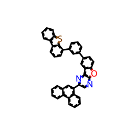 c1cc(-c2ccc3oc4ncc(-c5cc6ccccc6c6ccccc56)nc4c3c2)cc(-c2cccc3c2sc2ccccc23)c1